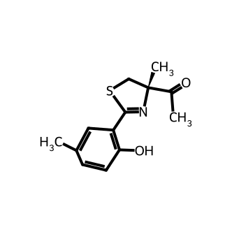 CC(=O)[C@@]1(C)CSC(c2cc(C)ccc2O)=N1